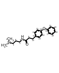 CN(C)CCCNC(=O)CCc1ccc(Oc2ccccc2)cc1